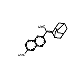 COC(=C1C2CC3CC(C2)CC1C3)c1ccc2cc(OC)ccc2c1